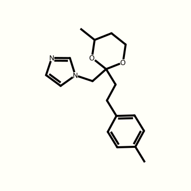 Cc1ccc(CCC2(Cn3ccnc3)OCCC(C)O2)cc1